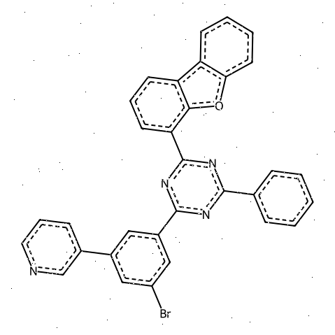 Brc1cc(-c2cccnc2)cc(-c2nc(-c3ccccc3)nc(-c3cccc4c3oc3ccccc34)n2)c1